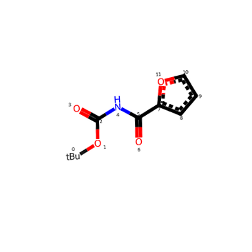 CC(C)(C)OC(=O)NC(=O)c1ccco1